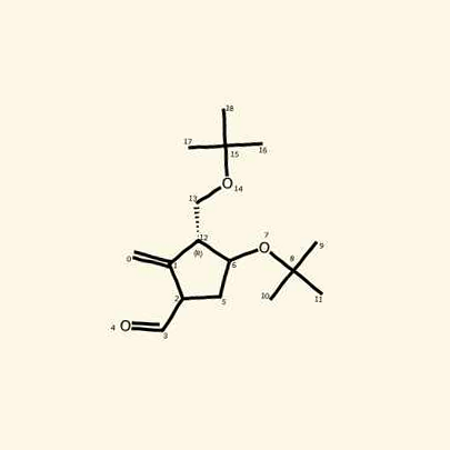 C=C1C(C=O)CC(OC(C)(C)C)[C@H]1COC(C)(C)C